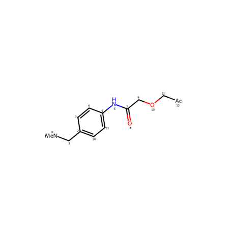 CNCc1ccc(NC(=O)COCC(C)=O)cc1